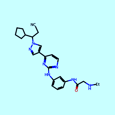 CCNCC(=O)Nc1cccc(Nc2nccc(-c3cnn(C(CC#N)C4CCCC4)c3)n2)c1